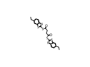 CCc1ccc2nc(SC(=O)CCC(=O)Sc3nc4ccc(CC)cc4s3)sc2c1